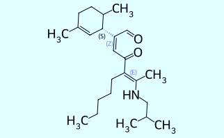 CCCCC/C(C(=O)/C=C(\C=O)[C@@H]1C=C(C)CCC1C)=C(/C)NCC(C)C